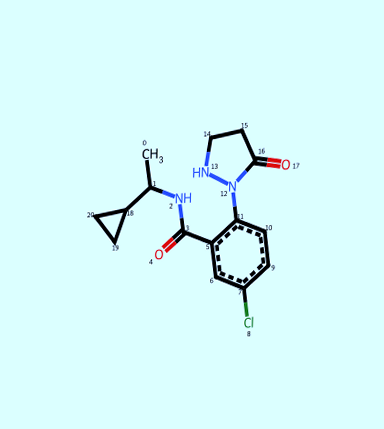 CC(NC(=O)c1cc(Cl)ccc1N1NCCC1=O)C1CC1